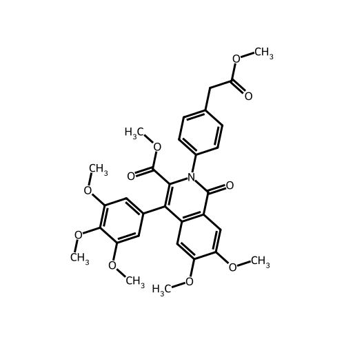 COC(=O)Cc1ccc(-n2c(C(=O)OC)c(-c3cc(OC)c(OC)c(OC)c3)c3cc(OC)c(OC)cc3c2=O)cc1